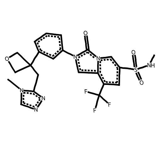 CNS(=O)(=O)c1cc(C(F)(F)F)c2cn(-c3cccc(C4(Cc5nncn5C)COC4)c3)c(=O)n2c1